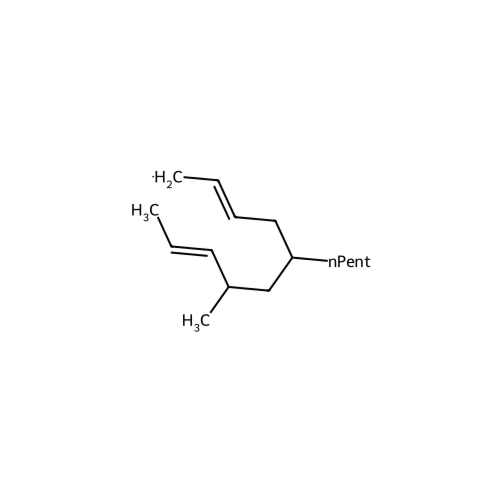 [CH2]C=CCC(CCCCC)CC(C)C=CC